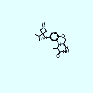 CC1C(=O)NN=C2COc3ccc(NC4(C(C)C)CNC4)cc3N21